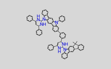 CC1(C)c2ccccc2-c2cc3c4ccccc4n(C4NC(c5ccccc5)=CC(c5cccc(-c6ccc7c8cc9c(cc8n(-c8ccccc8)c7c6)c6ccccc6n9C6NC(c7ccccc7)=CC(c7ccccc7)N6)c5)N4)c3cc21